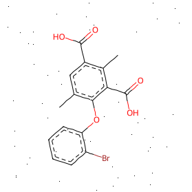 Cc1cc(C(=O)O)c(C)c(C(=O)O)c1Oc1ccccc1Br